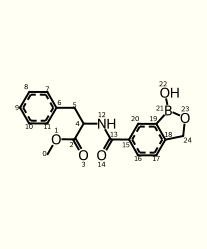 COC(=O)C(Cc1ccccc1)NC(=O)c1ccc2c(c1)B(O)OC2